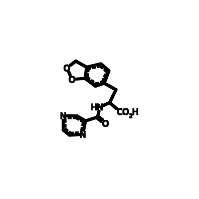 O=C(NC(Cc1ccc2c(c1)OOC2)C(=O)O)c1cnccn1